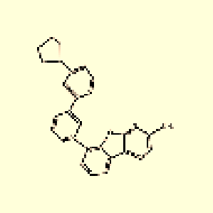 Cc1ccc2c(n1)oc1c(-c3cc(-c4cccc(C5CCCC5)c4)ccn3)cccc12